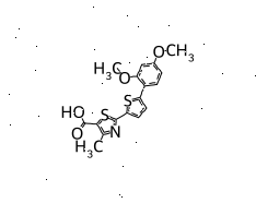 COc1ccc(-c2ccc(-c3nc(C)c(C(=O)O)s3)s2)c(OC)c1